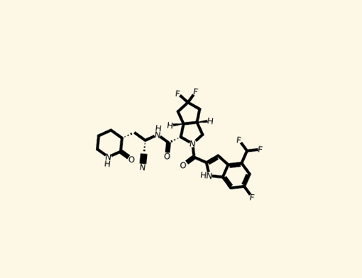 N#C[C@H](C[C@H]1CCCNC1=O)NC(=O)[C@@H]1[C@@H]2CC(F)(F)C[C@@H]2CN1C(=O)c1cc2c(C(F)F)cc(F)cc2[nH]1